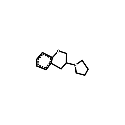 c1ccc2c(c1)CC(N1CCCC1)CO2